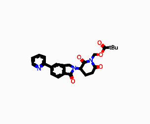 CC(C)(C)C(=O)OCN1C(=O)CCC(N2Cc3cc(-c4ccccn4)ccc3C2=O)C1=O